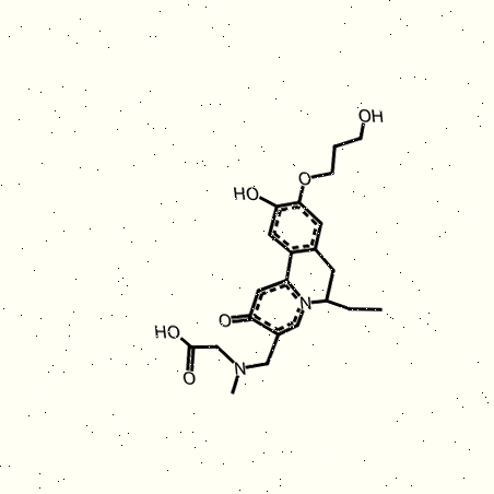 CCC1Cc2cc(OCCCO)c(O)cc2-c2cc(=O)c(CN(C)CC(=O)O)cn21